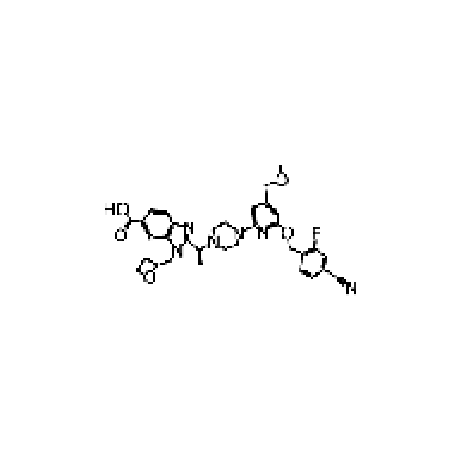 COCc1cc(OCc2ccc(C#N)cc2F)nc(N2CCN([C@@H](C)c3nc4ccc(C(=O)O)cc4n3C[C@@H]3CCO3)CC2)c1